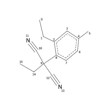 CCc1cc(C)ccc1C(C#N)(C#N)CC